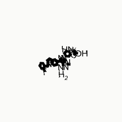 C[C@@H](N[C@H]1CC[C@H](n2nc(-c3ccc4c(ccn4Cc4ccccc4F)c3)c3c(N)ncnc32)CC1)C(=O)O